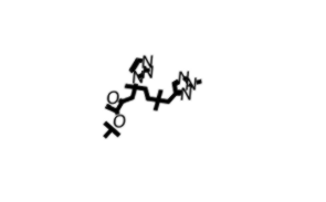 Cn1ncc(CC(C)(C)CCC(C)(CC2OCC2OC(C)(C)C)n2ccnn2)n1